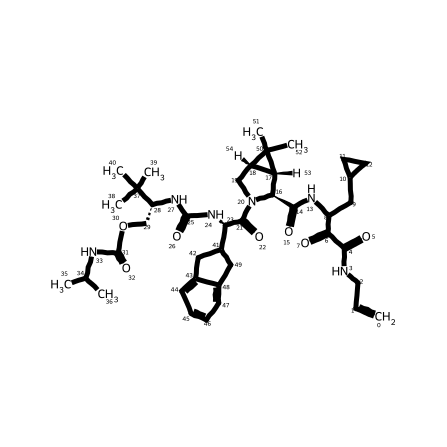 C=CCNC(=O)C(=O)C(CC1CC1)NC(=O)[C@@H]1[C@@H]2[C@H](CN1C(=O)[C@@H](NC(=O)N[C@H](COC(=O)NC(C)C)C(C)(C)C)C1Cc3ccccc3C1)C2(C)C